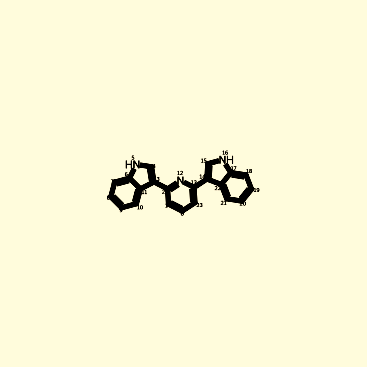 c1cc(-c2c[nH]c3ccccc23)nc(-c2c[nH]c3ccccc23)c1